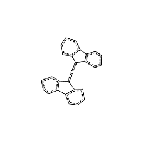 C(=C1c2ccccc2-c2ccccc21)=C1c2ccccc2-c2ccccc21